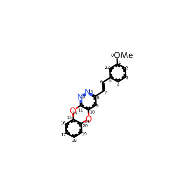 COc1cccc(/C=C/c2cc3c(nn2)Oc2ccccc2O3)c1